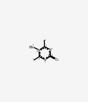 Cc1nc(=O)nc(C)n1C(C)(C)C